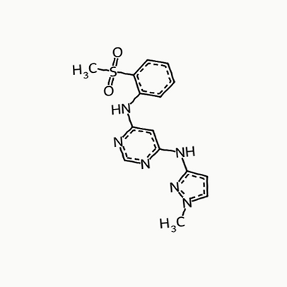 Cn1ccc(Nc2cc(Nc3ccccc3S(C)(=O)=O)ncn2)n1